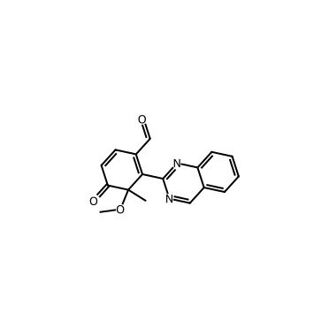 COC1(C)C(=O)C=CC(C=O)=C1c1ncc2ccccc2n1